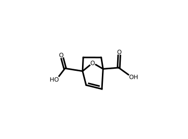 O=C(O)C12C=CC(C(=O)O)(CC1)O2